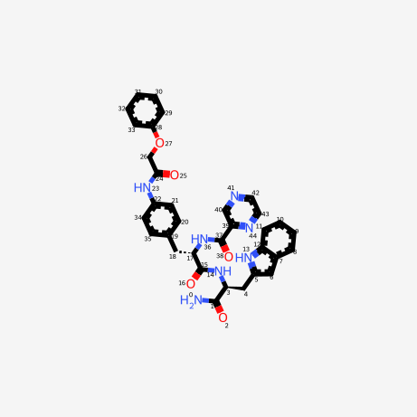 NC(=O)[C@H](Cc1cc2ccccc2[nH]1)NC(=O)[C@H](Cc1ccc(NC(=O)COc2ccccc2)cc1)NC(=O)c1cnccn1